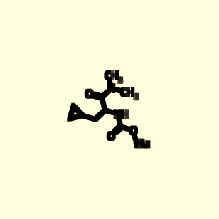 CN(C)C(=O)C(CC1CC1)NC(=O)OC(C)(C)C